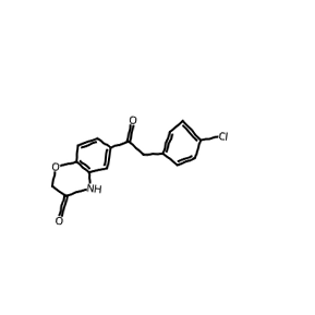 O=C1COc2ccc(C(=O)Cc3ccc(Cl)cc3)cc2N1